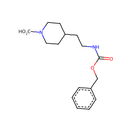 O=C(NCCC1CCN(C(=O)O)CC1)OCc1ccccc1